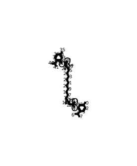 Cc1ccc(C(C)C)c(OC(=O)C[N+](C)(C)CCCCCCCCCC[N+](C)(C)C(=O)Oc2cc(C)ccc2C(C)C)c1